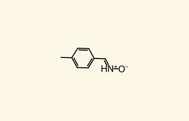 Cc1ccc(C=[NH+][O-])cc1